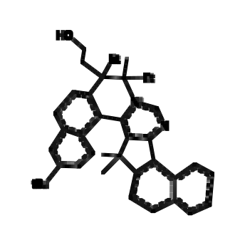 CCC1(CCO)c2ccc3cc(C(C)(C)C)ccc3c2-c2c3c(nc[n+]2C1(C)CC)-c1c(ccc2ccccc12)C3(C)C